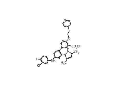 CCOC(=O)c1cc(-c2cnc(Nc3ccc(F)c(Cl)c3)nc2N2NC(C(F)(F)F)C=C2C)cnc1OCCc1ccncc1